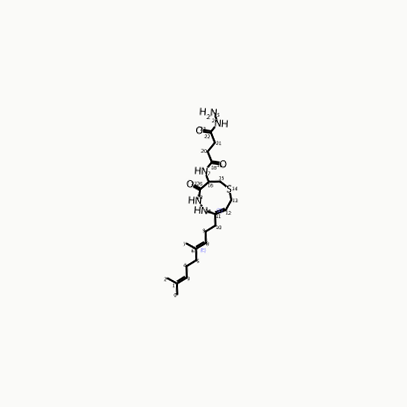 CC(C)=CCC/C(C)=C/CC/C1=C/CSCC(NC(=O)CCC(=O)NN)C(=O)NN1